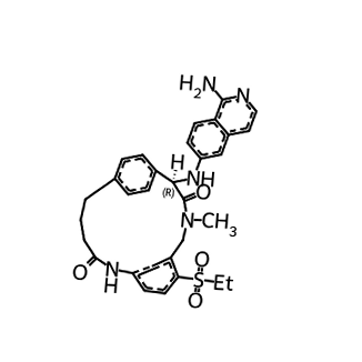 CCS(=O)(=O)c1ccc2cc1CN(C)C(=O)[C@H](Nc1ccc3c(N)nccc3c1)c1ccc(cc1)CCCC(=O)N2